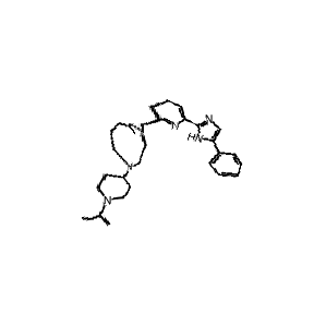 CC(C)N1CCC(N2CCCN(C3=NC(c4ncc(-c5ccccc5)[nH]4)=CCC3)CC2)CC1